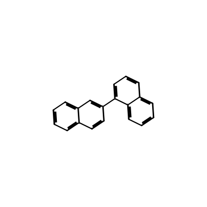 c1ccc2cc(-c3cccc4ccccc34)ccc2c1